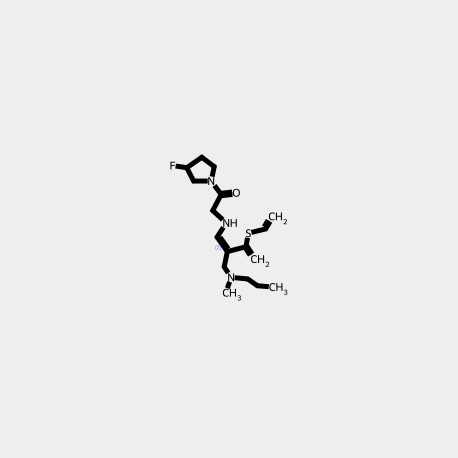 C=CSC(=C)/C(=C\NCC(=O)N1CCC(F)C1)CN(C)CCC